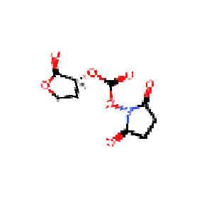 O=C(O[C@@H]1CCOC1=O)ON1C(=O)CCC1=O